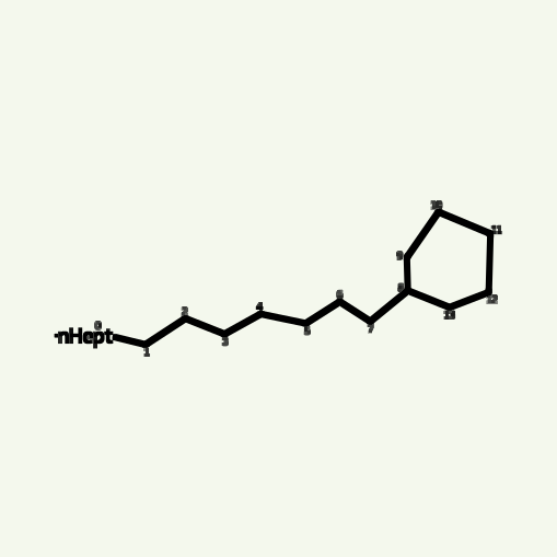 CCCCCC[CH]CCCCCCCC1CCCCC1